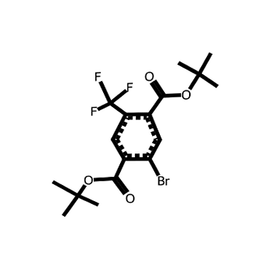 CC(C)(C)OC(=O)c1cc(C(F)(F)F)c(C(=O)OC(C)(C)C)cc1Br